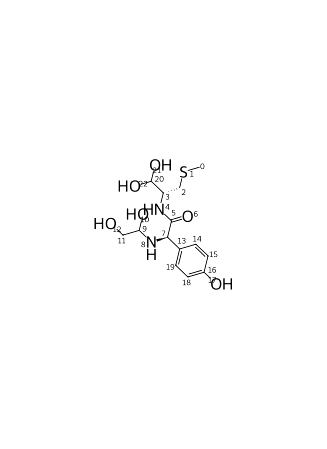 CSC[C@H](NC(=O)[C@H](NC(O)CO)c1ccc(O)cc1)C(O)O